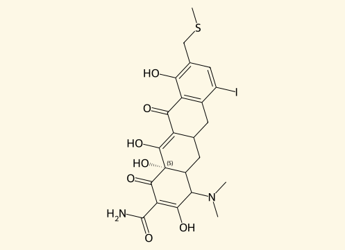 CSCc1cc(I)c2c(c1O)C(=O)C1=C(O)[C@]3(O)C(=O)C(C(N)=O)=C(O)C(N(C)C)C3CC1C2